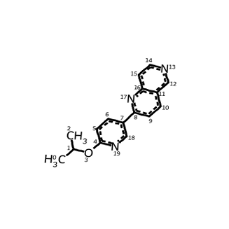 CC(C)Oc1ccc(-c2ccc3cnccc3n2)cn1